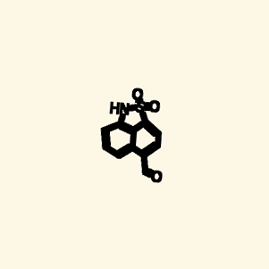 O=Cc1ccc2c3c(cccc13)NS2(=O)=O